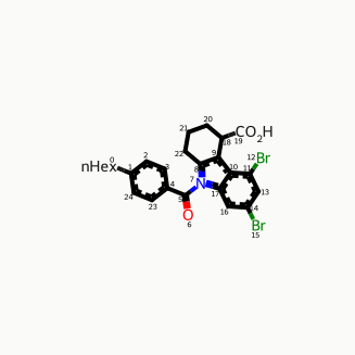 CCCCCCc1ccc(C(=O)n2c3c(c4c(Br)cc(Br)cc42)C(C(=O)O)CCC3)cc1